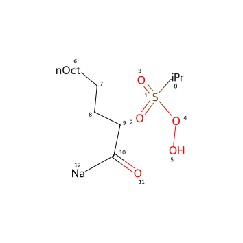 CC(C)S(=O)(=O)OO.CCCCCCCCCCC[C](=O)[Na]